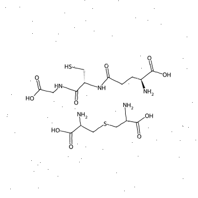 NC(CSCC(N)C(=O)O)C(=O)O.N[C@@H](CCC(=O)N[C@@H](CS)C(=O)NCC(=O)O)C(=O)O